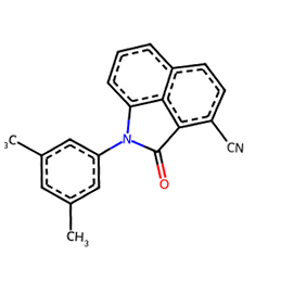 Cc1cc(C)cc(N2C(=O)c3c(C#N)ccc4cccc2c34)c1